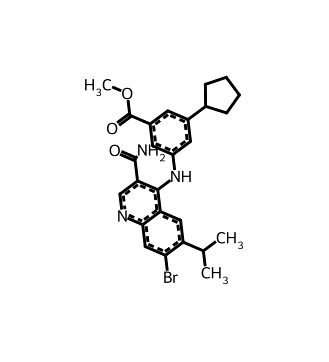 COC(=O)c1cc(Nc2c(C(N)=O)cnc3cc(Br)c(C(C)C)cc23)cc(C2CCCC2)c1